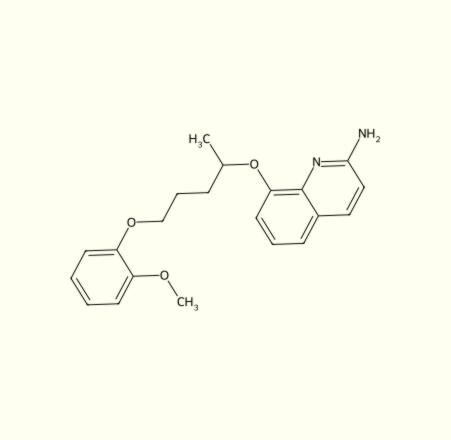 COc1ccccc1OCCCC(C)Oc1cccc2ccc(N)nc12